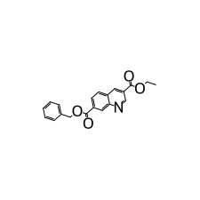 CCOC(=O)c1cnc2cc(C(=O)OCc3ccccc3)ccc2c1